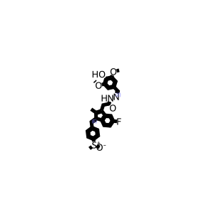 COc1cc(/C=N\NC(=O)CC2=C(C)/C(=C/c3ccc([S+](C)[O-])cc3)c3ccc(F)cc32)cc(OC)c1O